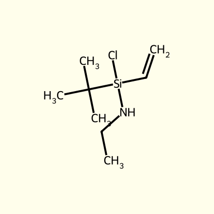 C=C[Si](Cl)(NCC)C(C)(C)C